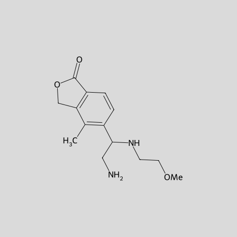 COCCNC(CN)c1ccc2c(c1C)COC2=O